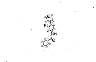 O=C(CNc1ccc(N2CCOCC2)c(F)c1)c1ccccc1